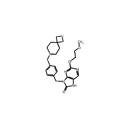 COCCOc1ncc2[nH]c(=O)n(Cc3ccc(CN4CCC5(CC4)COC5)cc3)c2n1